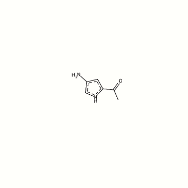 CC(=O)c1cc(N)c[nH]1